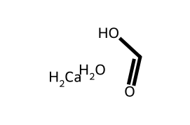 O.O=CO.[CaH2]